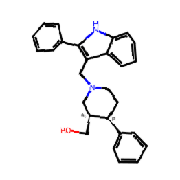 OC[C@H]1CN(Cc2c(-c3ccccc3)[nH]c3ccccc23)CC[C@H]1c1ccccc1